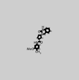 COc1cc(NC(=O)[C@@H]2CC[C@H](N3Cc4ccccc4NC3=O)C2)ccc1C